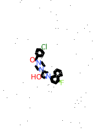 O=C(c1ccc(Cl)cc1)N1CCN([C@@H]2CN(c3ccc(F)c4ccccc34)C[C@H]2O)CC1